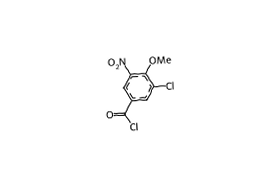 COc1c(Cl)cc(C(=O)Cl)cc1[N+](=O)[O-]